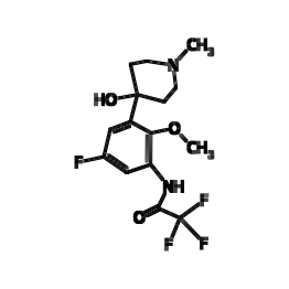 COc1c(NC(=O)C(F)(F)F)cc(F)cc1C1(O)CCN(C)CC1